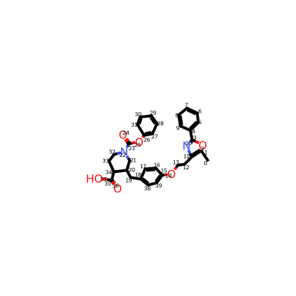 Cc1oc(-c2ccccc2)nc1CCOc1ccc(CC2CN(C(=O)Oc3ccccc3)CCC2C(=O)O)cc1